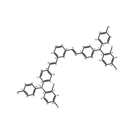 Cc1ccc(C(c2ccc(C=Cc3cccc(C=Cc4ccc(N(c5ccc(C)cc5)c5ccc(C)cc5C)cc4)c3)cc2)c2ccc(C)cc2C)cc1